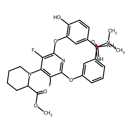 COC(=O)C1CCCCN1c1c(F)c(Oc2cccc(C(=O)N(C)C)c2)nc(Oc2cc(C(=N)N)ccc2O)c1F